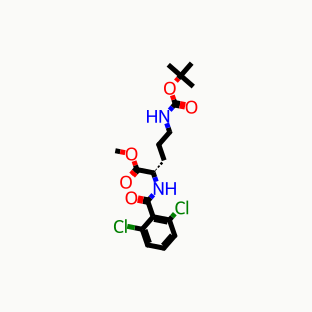 COC(=O)[C@H](CCCNC(=O)OC(C)(C)C)NC(=O)c1c(Cl)cccc1Cl